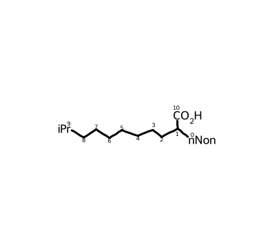 CCCCCCCCCC(CCCCCCCC(C)C)C(=O)O